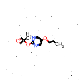 CCCOc1cnc(OC2(C)COC2)nc1